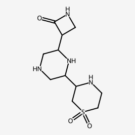 O=C1NCC1C1CNCC(C2CS(=O)(=O)CCN2)N1